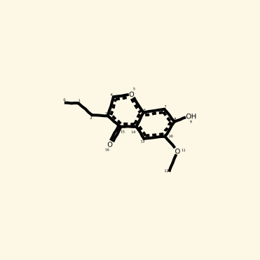 CCCc1coc2cc(O)c(OC)cc2c1=O